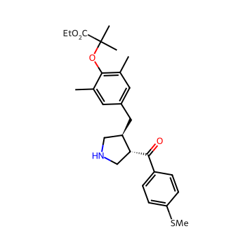 CCOC(=O)C(C)(C)Oc1c(C)cc(C[C@@H]2CNC[C@H]2C(=O)c2ccc(SC)cc2)cc1C